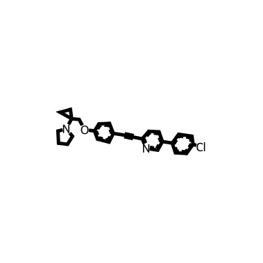 Clc1ccc(-c2ccc(C#Cc3ccc(OCC4(N5CCCC5)CC4)cc3)nc2)cc1